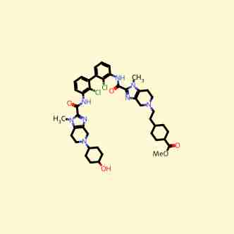 COC(=O)C1CCC(CCN2CCc3c(nc(C(=O)Nc4cccc(-c5cccc(NC(=O)c6nc7c(n6C)CCN(C6CCC(O)CC6)C7)c5Cl)c4Cl)n3C)C2)CC1